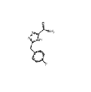 NC(=O)c1nnc(Cc2ccc(F)cc2)[nH]1